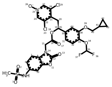 CS(=O)(=O)Nc1ccc2c(c1)oc(=O)n2CC(=O)O[C@@H](Cc1c(Cl)c[n+]([O-])cc1Cl)c1ccc(OC(F)F)c(OCC2CC2)c1